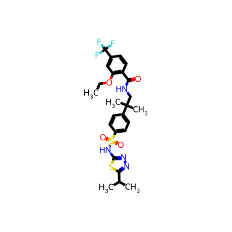 CCOc1cc(C(F)(F)F)ccc1C(=O)NCC(C)(C)c1ccc(S(=O)(=O)Nc2nnc(C(C)C)s2)cc1